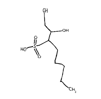 CCCCCC(C(O)CO)S(=O)(=O)O